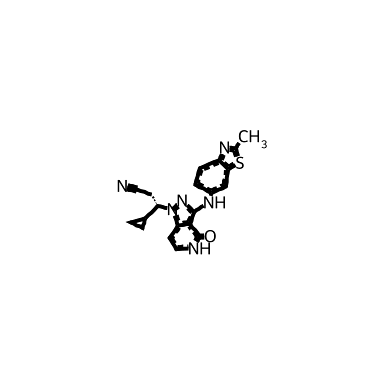 Cc1nc2ccc(Nc3nn([C@@H](CC#N)C4CC4)c4cc[nH]c(=O)c34)cc2s1